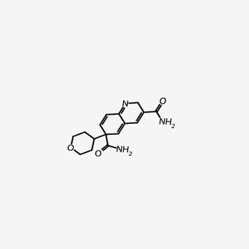 NC(=O)C1=CC2=CC(C(N)=O)(C3CCOCC3)C=CC2=NC1